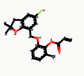 C=CC(=O)Oc1c(CC)cccc1OCc1cc(F)cc2c1OC(C)(C)C2